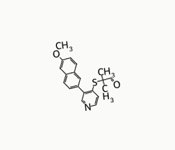 COc1ccc2cc(-c3cnccc3SC(C)(C)C=O)ccc2c1